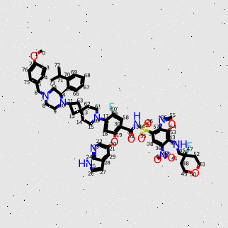 COc1ccc(CN2CCN(C3CC4(CCN(c5cc(Oc6cnc7[nH]ccc7c6)c(C(=O)NS(=O)(=O)c6cc([N+](=O)[O-])c(NCC7(F)CCOCC7)c7ocnc67)cc5F)CC4)C3)[C@H](c3ccccc3C(C)C)C2)cc1